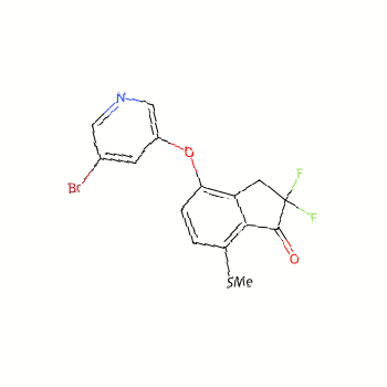 CSc1ccc(Oc2cncc(Br)c2)c2c1C(=O)C(F)(F)C2